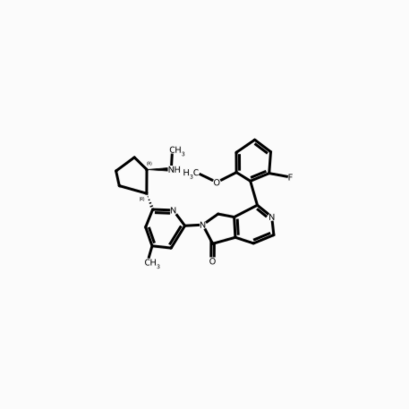 CN[C@@H]1CCC[C@H]1c1cc(C)cc(N2Cc3c(ccnc3-c3c(F)cccc3OC)C2=O)n1